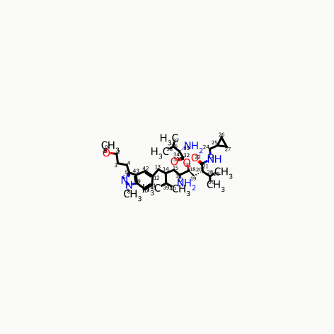 COCCCc1nn(C)c2ccc(CC(C[C@H](N)[C@H](C[C@H](C(=O)NCC3CC3)C(C)C)OC(=O)[C@@H](N)C(C)C)C(C)C)cc12